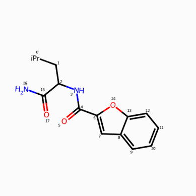 CC(C)CC(NC(=O)c1cc2ccccc2o1)C(N)=O